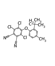 Cc1ccc(Oc2c(Cl)c(Cl)c(C#N)c(C#N)c2Cl)c(C(C)(C)C)c1